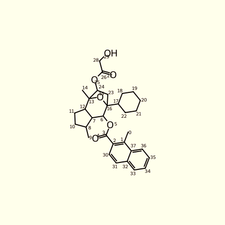 Cc1c(C(=O)OC2C3C(C)CCC3C3(C)OC2(C2CCCCC2)CC3OC(=O)CO)ccc2ccccc12